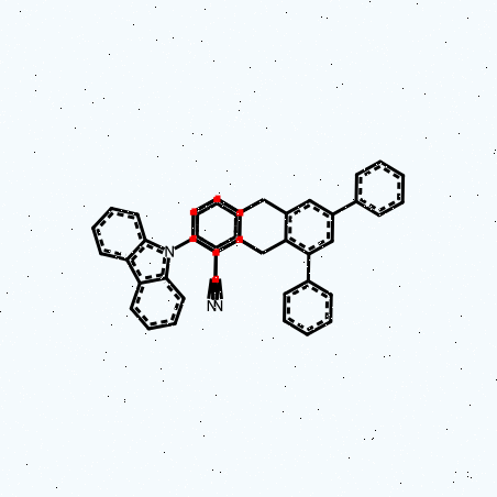 N#Cc1cccc2c1C1c3c(-c4ccccc4)cc(-c4ccccc4)cc3C2c2ccc(-n3c4ccccc4c4ccccc43)c(C#N)c21